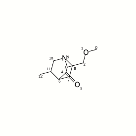 COCC1C(=O)C2CCN1CC2C